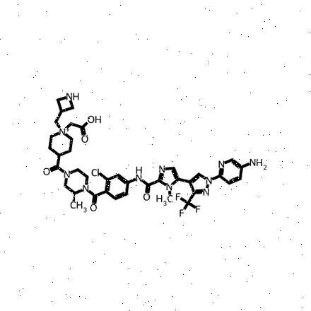 C[C@H]1CN(C(=O)C2CC[N+](CC(=O)O)(CC3CNC3)CC2)CCN1C(=O)c1ccc(NC(=O)c2ncc(-c3cn(-c4ccc(N)cn4)nc3C(F)(F)F)n2C)cc1Cl